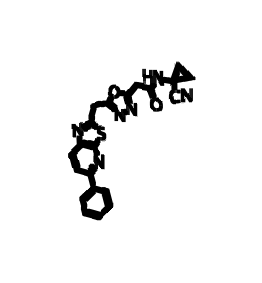 N#CC1(NC(=O)Cc2nnc(Cc3nc4ccc(-c5ccccc5)nc4s3)o2)CC1